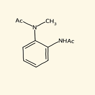 CC(=O)Nc1ccccc1N(C)C(C)=O